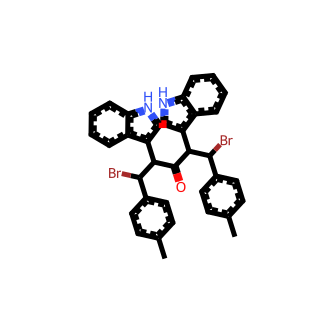 Cc1ccc(C(Br)C(C(=O)C(c2c[nH]c3ccccc23)C(Br)c2ccc(C)cc2)c2c[nH]c3ccccc23)cc1